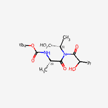 CC(C)C(O)C(=O)N(C(=O)[C@H](C)NC(=O)OC(C)(C)C)[C@@H](C)C(=O)O